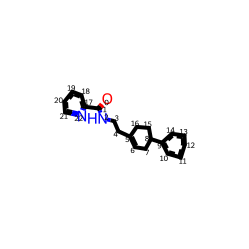 O=C(NCCC1=CCC(c2ccccc2)CC1)c1ccccn1